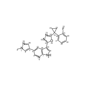 Cn1cc(-c2cnc3[nH]cc(-c4nnc(C5(c6ccccc6F)CC5)o4)c3c2)cn1